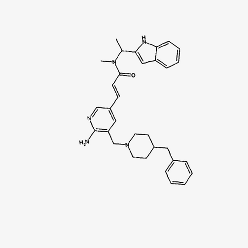 CC(c1cc2ccccc2[nH]1)N(C)C(=O)/C=C/c1cnc(N)c(CN2CCC(Cc3ccccc3)CC2)c1